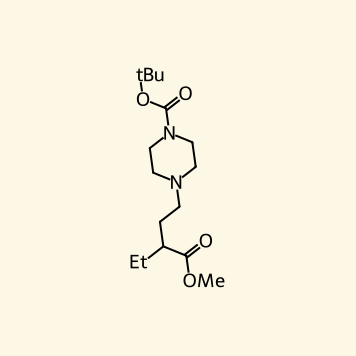 CCC(CCN1CCN(C(=O)OC(C)(C)C)CC1)C(=O)OC